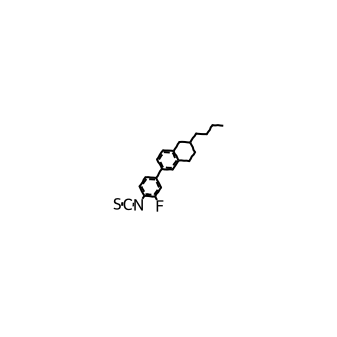 CCCCC1CCc2cc(-c3ccc(N=C=S)c(F)c3)ccc2C1